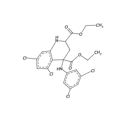 CCOC(=O)C1CC(Nc2cc(Cl)cc(Cl)c2)(C(=O)OCC)c2c(Cl)cc(Cl)cc2N1